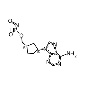 Nc1ncnc2c1ncn2[C@H]1CC[C@@H](CO[PH](=O)N=O)C1